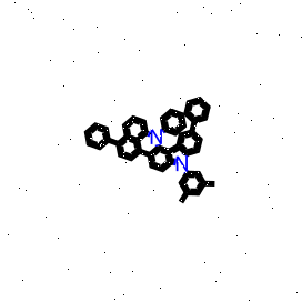 Cc1cc(C)cc(-n2c3ccc(-c4ccccc4)cc3c3c4c(ccc32)-c2ccc(-c3ccccc3)c3cccc(c23)N4c2ccccc2)c1